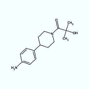 CC(C)(O)C(=O)N1CCC(c2ccc(N)cc2)CC1